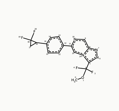 COC(F)(F)c1nnc2cnc(-c3ccc(C4CC4(F)F)cc3)cn12